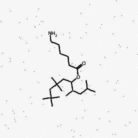 CC(C)CC(C)C(CC(C)(C)CC(C)(C)C)OC(=O)CCCCCN